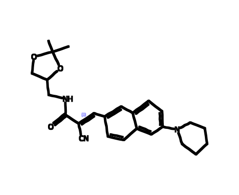 CC1(C)OCC(CNC(=O)/C(C#N)=C/c2ccc3cc(N4CCCCC4)ccc3c2)O1